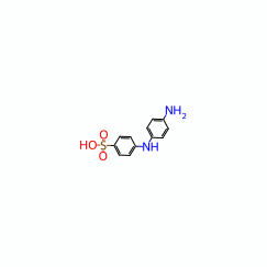 Nc1ccc(Nc2ccc(S(=O)(=O)O)cc2)cc1